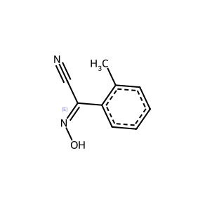 Cc1ccccc1/C(C#N)=N\O